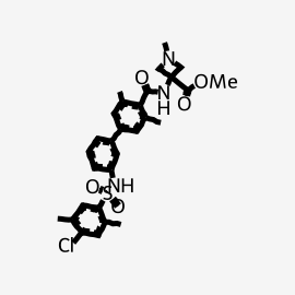 COC(=O)C1(NC(=O)c2c(C)cc(-c3cccc(NS(=O)(=O)c4cc(C)c(Cl)cc4C)c3)cc2C)CN(C)C1